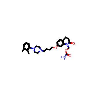 CNC(=O)OCN1C(=O)CCc2ccc(OCCCCN3CCN(c4cccc(C)c4C)CC3)cc21